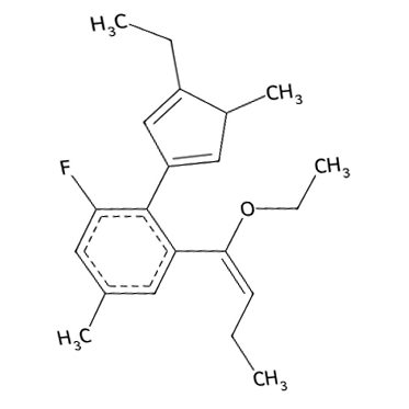 CC/C=C(/OCC)c1cc(C)cc(F)c1C1=CC(C)C(CC)=C1